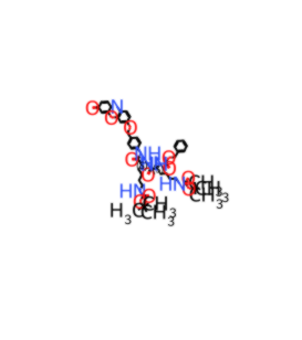 CC(C)(C)OC(=O)NCCCC[C@H](NC(=O)OCc1ccccc1)C(=O)N[C@@H](CCCCNC(=O)OC(C)(C)C)C(=O)Nc1ccc(COc2ccc3nc4ccc(=O)cc-4oc3c2)cc1